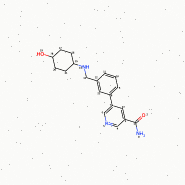 NC(=O)c1cncc(-c2cccc(CNC3CCC(O)CC3)c2)c1